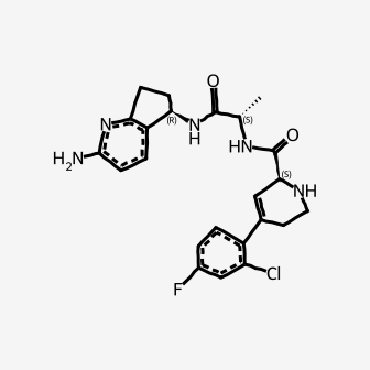 C[C@H](NC(=O)[C@@H]1C=C(c2ccc(F)cc2Cl)CCN1)C(=O)N[C@@H]1CCc2nc(N)ccc21